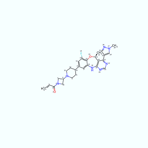 C=CC(=O)N1CC(N2CCC(c3cc(F)c4c(c3)Nc3ncnc(-c5cnn(C)c5)c3[C@H](C)O4)CC2)C1